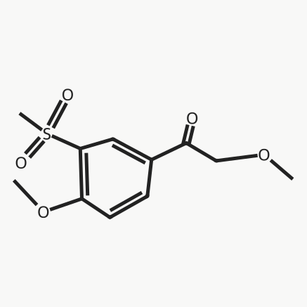 COCC(=O)c1ccc(OC)c(S(C)(=O)=O)c1